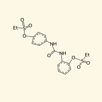 CCS(=O)(=O)Oc1ccc(NC(=O)Nc2ccccc2OS(=O)(=O)CC)cc1